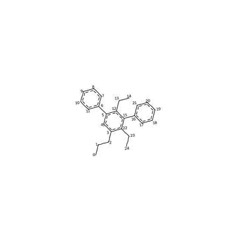 CCCc1[c]c(-c2ccccc2)c(CC)c(-c2ccccc2)c1CC